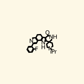 CC(C)N1CCC2(CC1)CNC(=O)c1c2[nH]c2c1CCc1cnc(-c3ccccc3F)cc1-2